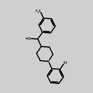 CCc1ccccc1N1CCC(C(O)c2cccc(C(F)(F)F)c2)CC1